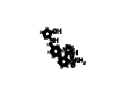 NS(=O)(=O)c1cccc(-c2ccc(CN[C@H]3CCC[C@@H]3O)cc2)c1-c1nnn[nH]1